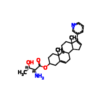 C[C@H](O)[C@@H](N)C(=O)OC1CCC2(C)C(=CCC3C2CCC2(C)C(c4cccnc4)=CCC32)C1